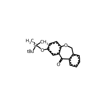 CC(C)(C)[Si](C)(C)Oc1ccc2c(c1)C(=O)c1ccccc1CO2